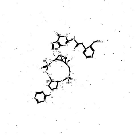 CNCc1ccccc1CC(=O)Nc1nc2c(ncn2[C@@H]2O[C@@H]3CO[P@@](=O)(S)O[C@H]4C[C@H](Oc5ccncn5)C[C@@H]4CO[P@@](=O)(S)O[C@@H]2[C@@H]3O)c(=O)[nH]1